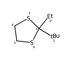 CCC1(C(C)(C)C)SCCS1